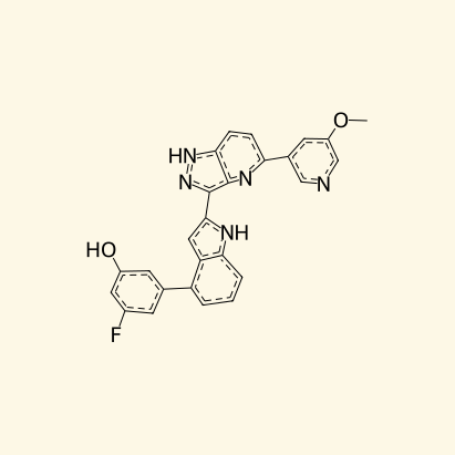 COc1cncc(-c2ccc3[nH]nc(-c4cc5c(-c6cc(O)cc(F)c6)cccc5[nH]4)c3n2)c1